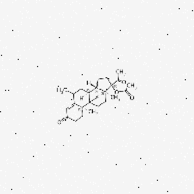 CC(=O)O[C@]1(C(C)=O)CC[C@H]2[C@@H]3CC(C)C4=CC(=O)CC[C@]4(C)C3(F)CC[C@@]21C